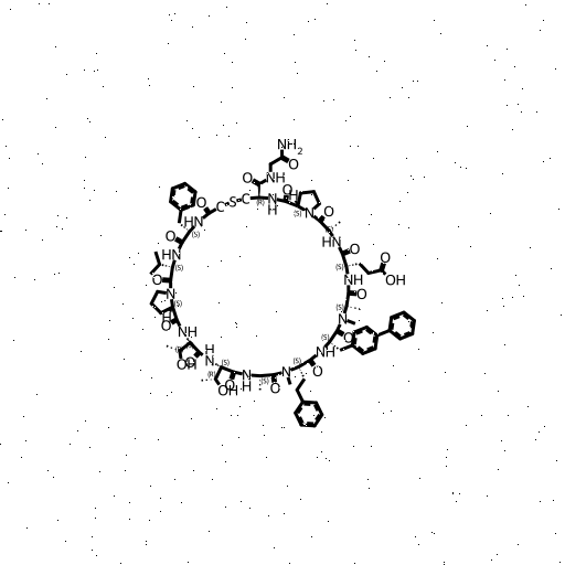 CC(C)[C@@H]1NC(=O)[C@H](Cc2ccccc2)NC(=O)CSC[C@@H](C(=O)NCC(N)=O)NC(=O)[C@@H]2CCCN2C(=O)[C@H](C)NC(=O)[C@H](CCC(=O)O)NC(=O)[C@H](C)N(C)C(=O)[C@H](Cc2ccc(-c3ccccc3)cc2)NC(=O)[C@H](CCc2ccccc2)N(C)C(=O)[C@H](C)NC(=O)[C@H]([C@@H](C)O)NC(=O)[C@H]([C@@H](C)O)NC(=O)[C@@H]2CCCN2C1=O